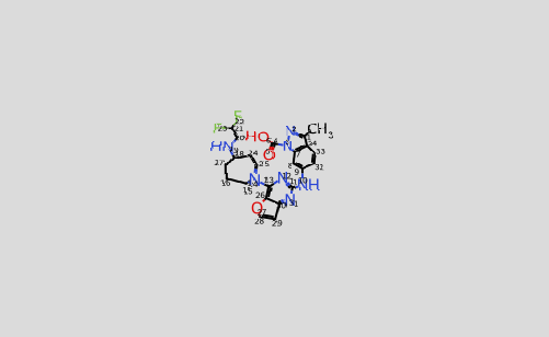 Cc1nn(C(=O)O)c2cc(Nc3nc(N4CCCC(NCC(F)F)CC4)c4occc4n3)ccc12